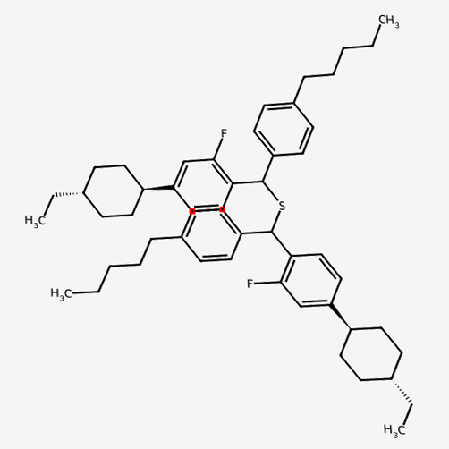 CCCCCc1ccc(C(SC(c2ccc(CCCCC)cc2)c2ccc([C@H]3CC[C@H](CC)CC3)cc2F)c2ccc([C@H]3CC[C@H](CC)CC3)cc2F)cc1